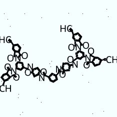 C#Cc1ccc2c(c1)C(=O)N(c1cc(-c3nc4cc5oc(-c6cccc(-c7nc8cc9oc(-c%10cc(N%11C(=O)c%12ccc(C#C)cc%12C%11=O)cc(N%11C(=O)c%12ccc(C#C)cc%12C%11=O)c%10)nc9cc8o7)c6)nc5cc4o3)cc(N3C(=O)c4ccc(C#C)cc4C3=O)c1)C2=O